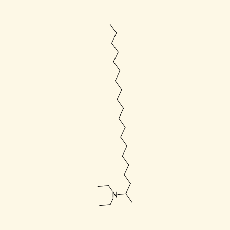 CCCCCCCCCCCCCCCCCCC(C)N(CC)CC